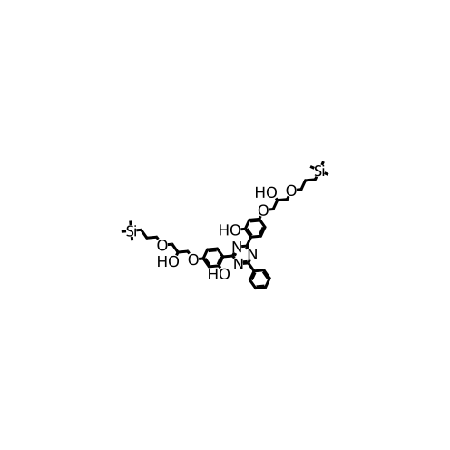 C[Si](C)(C)CCCOCC(O)COc1ccc(-c2nc(-c3ccccc3)nc(-c3ccc(OCC(O)COCCC[Si](C)(C)C)cc3O)n2)c(O)c1